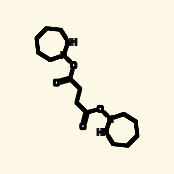 O=C(CCC(=O)ON1CCCCCN1)ON1CCCCCN1